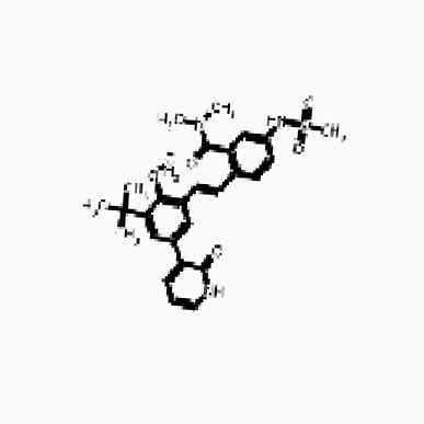 COc1c(C=Cc2ccc(NS(C)(=O)=O)cc2C(=O)N(C)C)cc(-c2ccc[nH]c2=O)cc1C(C)(C)C